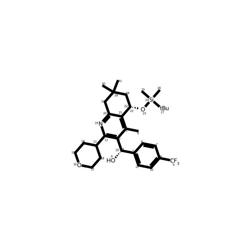 Cc1c([C@@H](O)c2ccc(C(F)(F)F)cc2)c(C2CCOCC2)nc2c1[C@@H](O[Si](C)(C)C(C)(C)C)CC(C)(C)C2